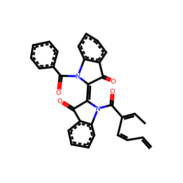 C=C/C=C\C(=C/C)C(=O)N1/C(=C2\C(=O)c3ccccc3N2C(=O)c2ccccc2)C(=O)c2ccccc21